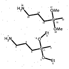 CCO[Si](C)(CCCN)OCC.CO[Si](C)(CCCN)OC